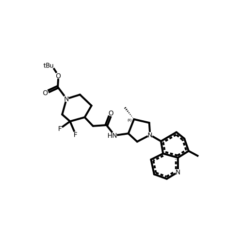 Cc1ccc(N2CC(NC(=O)CC3CCN(C(=O)OC(C)(C)C)CC3(F)F)[C@H](C)C2)c2cccnc12